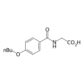 CCCCOc1ccc(C(=O)NCC(=O)O)cc1